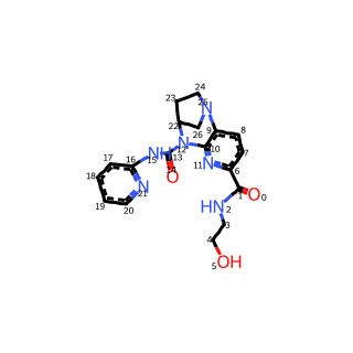 O=C(NCCO)c1ccc2c(n1)N(C(=O)Nc1ccccn1)C1CCN2C1